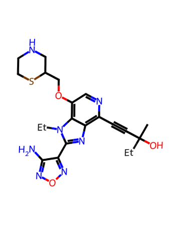 CCn1c(-c2nonc2N)nc2c(C#CC(C)(O)CC)ncc(OCC3CNCCS3)c21